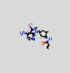 C=CC(=O)N[C@@H]1CC[C@@H](n2nc(I)c3c(N)ncnc32)C1